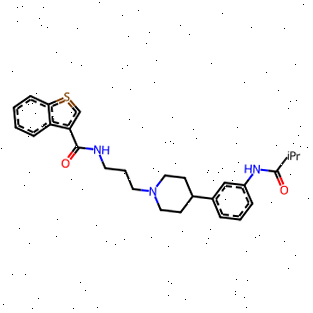 CC(C)C(=O)Nc1cccc(C2CCN(CCCNC(=O)c3csc4ccccc34)CC2)c1